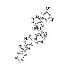 COc1cc(F)cc(-c2nccc3[nH]c(-c4n[nH]c5ncc(-c6cncc(NC(=O)C7CCCCC7)c6)cc45)nc23)c1